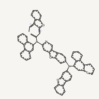 C=C(/C=c1/oc2ccccc2/c1=C/C)N(c1cc2oc3cc(N(c4ccc5c(c4)oc4ccccc45)c4cc5ccccc5c5ccccc45)ccc3c2cn1)c1cc2ccccc2c2ccccc12